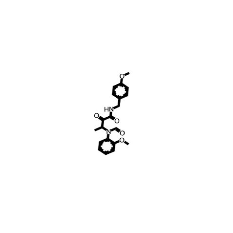 COc1ccc(CNC(=O)C(=O)C(C)N(C=O)c2ccccc2OC)cc1